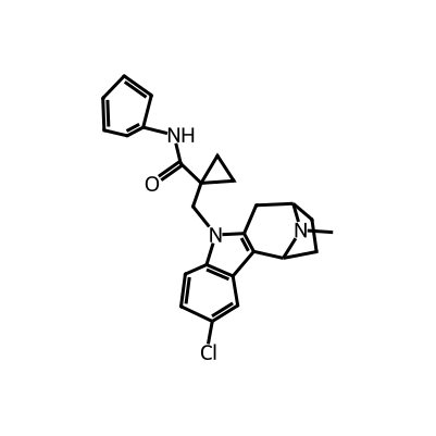 CN1C2CCC1c1c(n(CC3(C(=O)Nc4ccccc4)CC3)c3ccc(Cl)cc13)C2